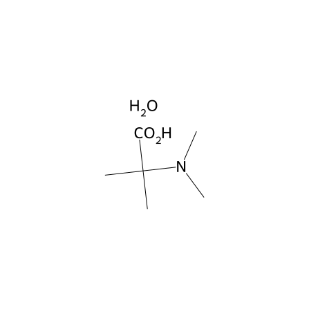 CN(C)C(C)(C)C(=O)O.O